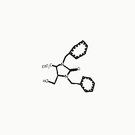 CCOC(=O)C1C(CO)N(Cc2ccccc2)C(=O)N1Cc1ccccc1